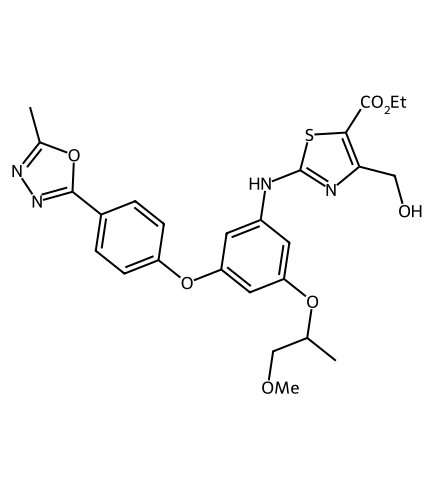 CCOC(=O)c1sc(Nc2cc(Oc3ccc(-c4nnc(C)o4)cc3)cc(OC(C)COC)c2)nc1CO